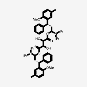 COc1ccc(C)cc1[C@H](CC(OC(=O)C(O)C(O)C(=O)OC(C[C@H](c1ccccc1)c1cc(C)ccc1OC)N(C(C)C)C(C)C)N(C(C)C)C(C)C)c1ccccc1